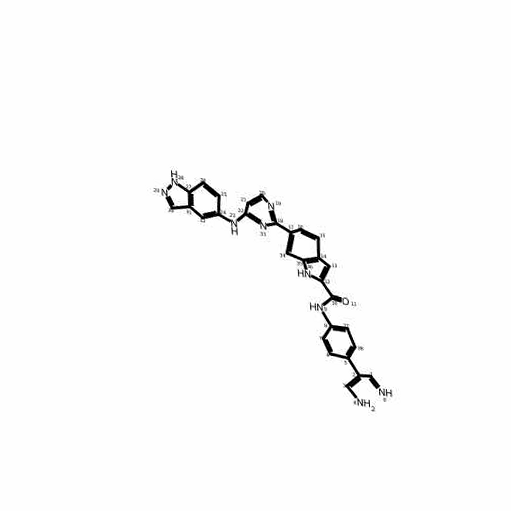 N=C/C(=C\N)c1ccc(NC(=O)c2cc3ccc(-c4nccc(Nc5ccc6[nH]ncc6c5)n4)cc3[nH]2)cc1